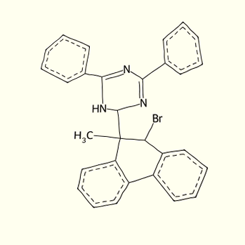 CC1(C2N=C(c3ccccc3)N=C(c3ccccc3)N2)c2ccccc2-c2ccccc2C1Br